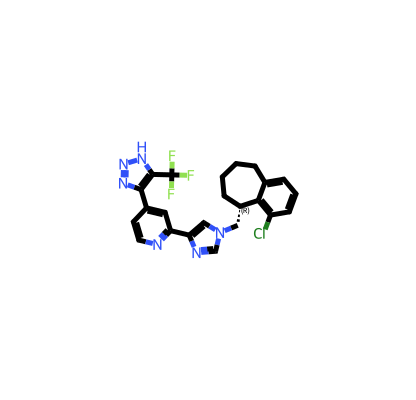 FC(F)(F)c1[nH]nnc1-c1ccnc(-c2cn(C[C@@H]3CCCCc4cccc(Cl)c43)cn2)c1